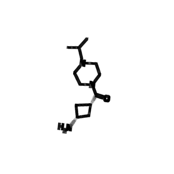 CC(C)N1CCN(C(=O)[C@H]2C[C@@H](N)C2)CC1